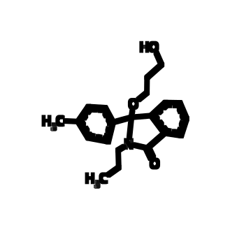 CCCN1C(=O)c2ccccc2C1(OCCCO)c1ccc(C)cc1